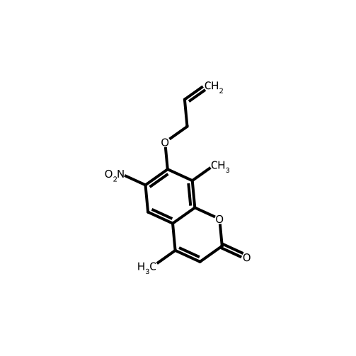 C=CCOc1c([N+](=O)[O-])cc2c(C)cc(=O)oc2c1C